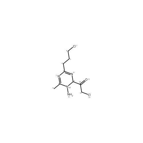 CC1=NC(CCCCl)=NC(C(=O)CCl)N1N